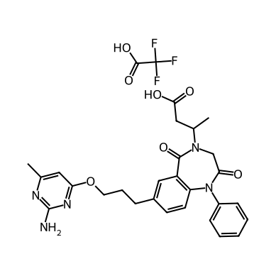 Cc1cc(OCCCc2ccc3c(c2)C(=O)N(C(C)CC(=O)O)CC(=O)N3c2ccccc2)nc(N)n1.O=C(O)C(F)(F)F